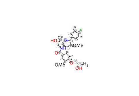 COc1cc(C(=O)NCC(O)(c2ccc(OC)c(-c3ccc(F)c(I)c3)n2)C(F)(F)F)ccc1OC[C@@H](C)O